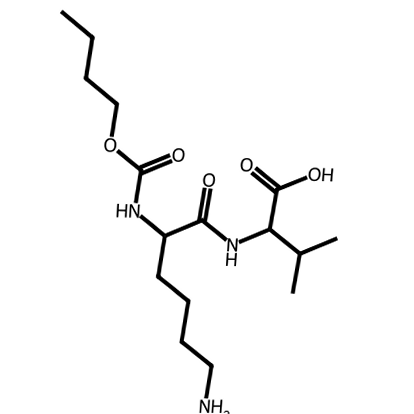 CCCCOC(=O)NC(CCCCN)C(=O)NC(C(=O)O)C(C)C